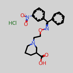 Cl.O=C(O)C1CCCN(CCO/N=C(/c2ccccc2)c2cccc([N+](=O)[O-])c2)C1